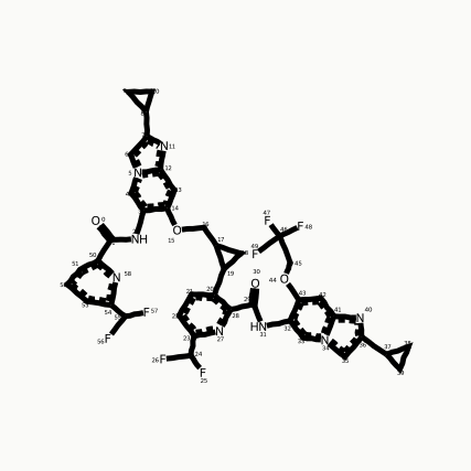 O=C(Nc1cn2cc(C3CC3)nc2cc1OCC1CC1c1ccc(C(F)F)nc1C(=O)Nc1cn2cc(C3CC3)nc2cc1OCC(F)(F)F)c1cccc(C(F)F)n1